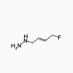 NNCC=CCF